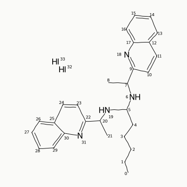 CCCCCC(NC(C)c1ccc2ccccc2n1)NC(C)c1ccc2ccccc2n1.I.I